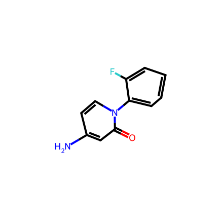 Nc1ccn(-c2ccccc2F)c(=O)c1